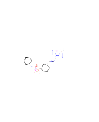 CN(c1ccccc1)S(=O)(=O)c1cccc(/C=C/c2noc(C(F)(F)F)n2)c1